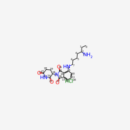 CCC(N)CCCCNc1cccc2c1C(=O)N(C1CCC(=O)NC1=O)C2=O.Cl